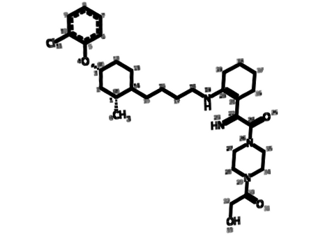 C[C@@H]1C[C@H](Oc2ccccc2Cl)CCC1CCCCNC1=C(C(=N)C(=O)N2CCN(C(=O)CO)CC2)CCCC1